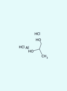 CC(O)CO.Cl.Cl.[Al]